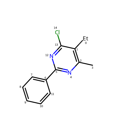 CCc1c(C)nc(-c2ccccc2)nc1Cl